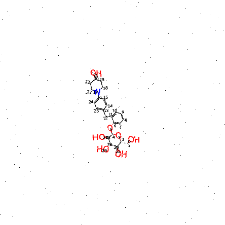 OC[C@H]1O[C@H](Oc2ccccc2Cc2ccc(N3CCC(O)CC3)cc2)[C@H](O)[C@@H](O)[C@@H]1O